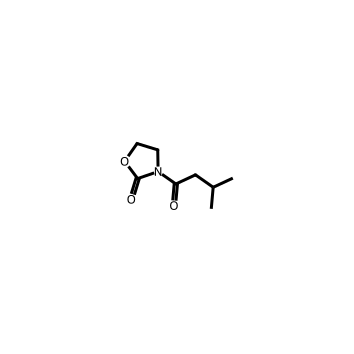 CC(C)CC(=O)N1CCOC1=O